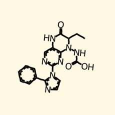 CCC1C(=O)Nc2cnc(-n3ccnc3-c3ccccc3)nc2N1NC(=O)O